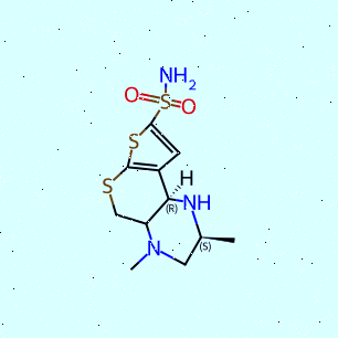 C[C@H]1CN(C)C2CSc3sc(S(N)(=O)=O)cc3[C@H]2N1